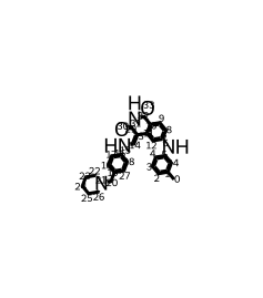 Cc1cccc(Nc2ccc3c(c2)C(=CNc2ccc(CN4CCCCC4)cc2)C(=O)NC3=O)c1